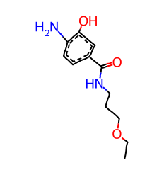 CCOCCCNC(=O)c1ccc(N)c(O)c1